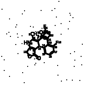 COC(=O)C1=C(C)NC2=C(C(=O)OC2)[C@@H]1c1cccc(F)c1C1CC(F)C1